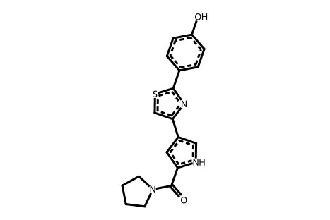 O=C(c1cc(-c2csc(-c3ccc(O)cc3)n2)c[nH]1)N1CCCC1